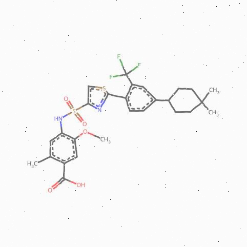 COc1cc(C(=O)O)c(C)cc1NS(=O)(=O)c1csc(-c2ccc(C3CCC(C)(C)CC3)cc2C(F)(F)F)n1